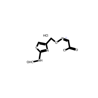 Cl.O=CNc1nc(CO/N=C\C(=O)Cl)cs1